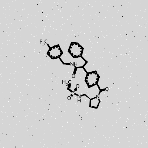 C=CS(=O)(=O)NC[C@@H]1CCCN1C(=O)c1ccc(C(Cc2ccccc2)C(=O)NCc2ccc(C(F)(F)F)cc2)cc1